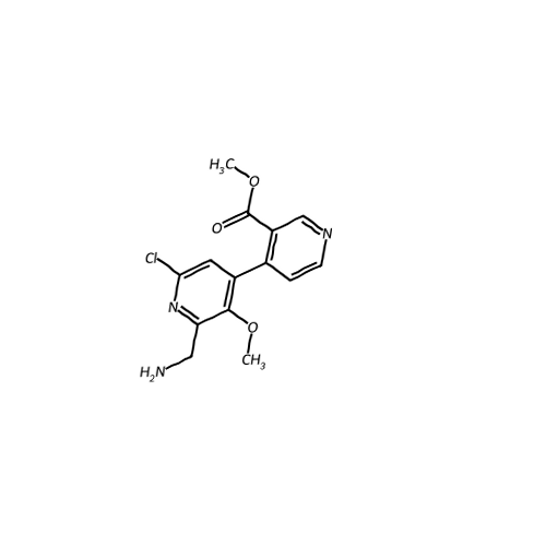 COC(=O)c1cnccc1-c1cc(Cl)nc(CN)c1OC